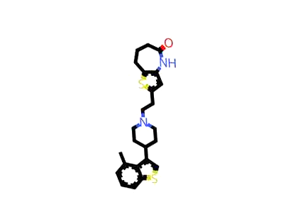 Cc1cccc2scc(C3CCN(CCc4cc5c(s4)CCCC(=O)N5)CC3)c12